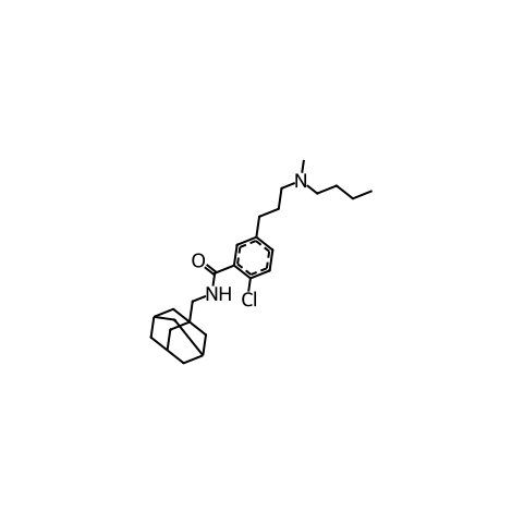 CCCCN(C)CCCc1ccc(Cl)c(C(=O)NCC23CC4CC(CC(C4)C2)C3)c1